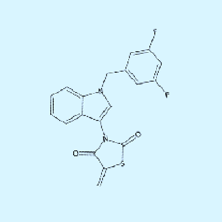 C=C1SC(=O)N(c2cn(Cc3cc(F)cc(F)c3)c3ccccc23)C1=O